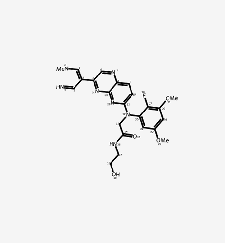 CN/C=C(\C=N)c1cnc2ccc(N(CC(=O)NCCO)c3cc(OC)cc(OC)c3F)nc2n1